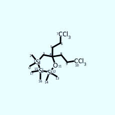 C[Si]1(C)CC(CCC(Cl)(Cl)Cl)(CCC(Cl)(Cl)Cl)O[Si](C)(C)[Si]1(C)C